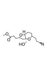 COC(=O)CCC1C[C@]2(CO)OC(CCC#N)CC[C@@H]2O1